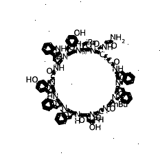 CCCC[C@H]1C(=O)N(C)CC(=O)N[C@@H](CC(O)=P)C(=O)N[C@@H](Cc2ccccc2)C(=O)N(C)[C@@H](Cc2ccccc2)C(=O)N[C@@H](Cc2ccc(O)cc2)C(=O)N(C)CC(=O)N[C@@H](Cc2c[nH]c3ccccc23)C(=O)N[C@@H](Cc2ccc(O)cc2)C(=O)N[C@@H](CC(C)C)C(=O)N[C@H](C(=O)NCC(N)=O)CSCC(=O)N[C@@H](Cc2ccccc2)C(=O)N(C)[C@@H](Cc2ccccc2)C(=O)N1C